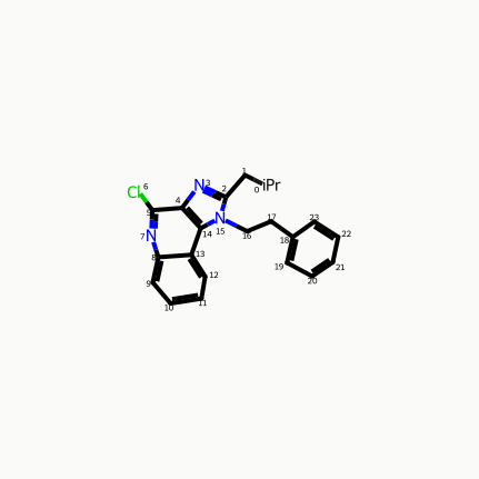 CC(C)Cc1nc2c(Cl)nc3ccccc3c2n1CCc1ccccc1